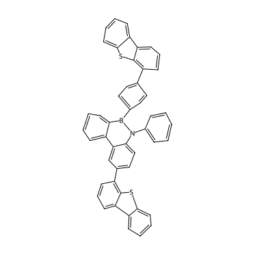 c1ccc(N2B(c3ccc(-c4cccc5c4sc4ccccc45)cc3)c3ccccc3-c3cc(-c4cccc5c4sc4ccccc45)ccc32)cc1